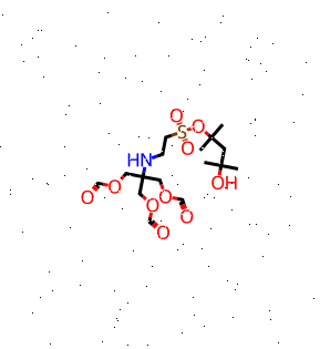 CC(C)(O)CC(C)(C)OS(=O)(=O)CCNC(COC=O)(COC=O)COC=O